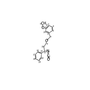 COc1cccc(COCCC(N=C=O)c2ccccc2)c1